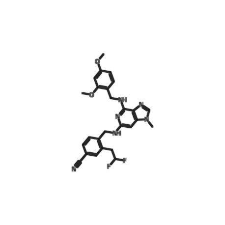 COc1ccc(CNc2nc(NCc3ccc(C#N)cc3CC(F)F)cc3c2ncn3C)c(OC)c1